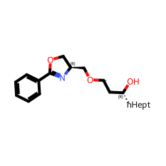 CCCCCCC[C@@H](O)C[CH]OC[C@@H]1COC(c2ccccc2)=N1